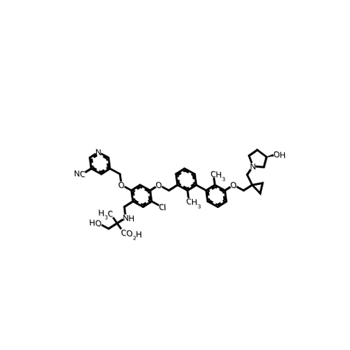 Cc1c(COc2cc(OCc3cncc(C#N)c3)c(CNC(C)(CO)C(=O)O)cc2Cl)cccc1-c1cccc(OCC2(CN3CC[C@@H](O)C3)CC2)c1C